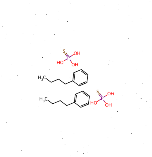 CCCCc1ccccc1.CCCCc1ccccc1.OP(O)(O)=S.OP(O)(O)=S